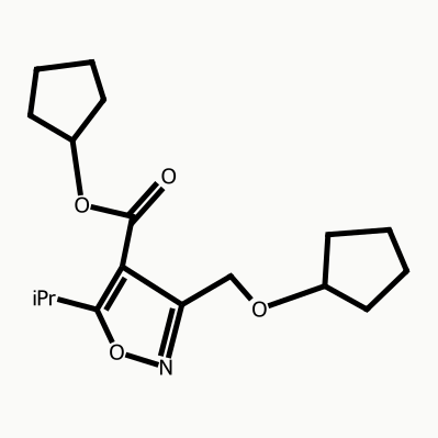 CC(C)c1onc(COC2CCCC2)c1C(=O)OC1CCCC1